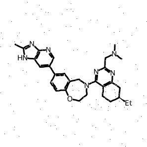 CC[C@H]1CCc2c(nc(CN(C)C)nc2N2CCOc3ccc(-c4cnc5nc(C)[nH]c5c4)cc3C2)C1